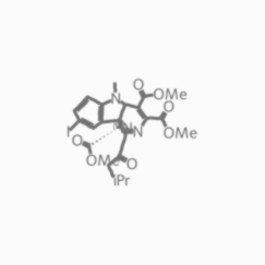 COC(=O)C1=C(C(=O)OC)C2N(C)c3ccc(I)cc3[C@@]23C[C@@H](C(=O)OC)N(C(=O)CC(C)C)C3=N1